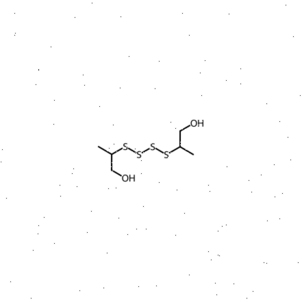 CC(CO)SSSSC(C)CO